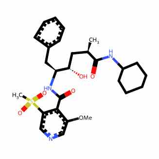 COc1cncc(S(C)(=O)=O)c1C(=O)N[C@@H](Cc1ccccc1)[C@@H](O)C[C@@H](C)C(=O)NC1CCCCC1